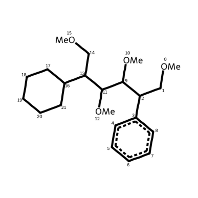 COCC(c1ccccc1)C(OC)C(OC)C(COC)C1CCCCC1